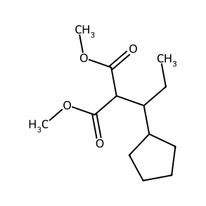 CCC(C1CCCC1)C(C(=O)OC)C(=O)OC